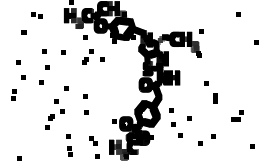 CC[C@@H]1c2nc(NC(=O)Cc3ccc(S(=O)(=O)CC)cc3)sc2CN1Cc1ccc(OC(C)C)cc1